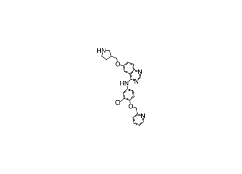 Clc1cc(Nc2ncnc3ccc(OCC4CCNC4)cc23)ccc1OCc1ccccn1